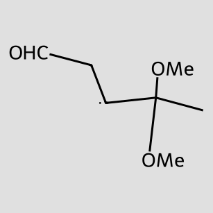 COC(C)([CH]CC=O)OC